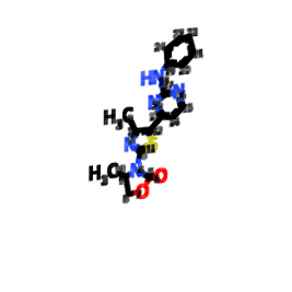 Cc1nc(N2C(=O)OCC2C)sc1-c1ccnc(Nc2ccccc2)n1